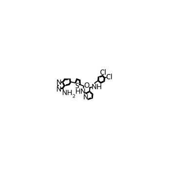 Nc1ncnc2ccc(-c3ccc(CNc4ncccc4C(=O)NCc4ccc(Cl)c(Cl)c4)s3)cc12